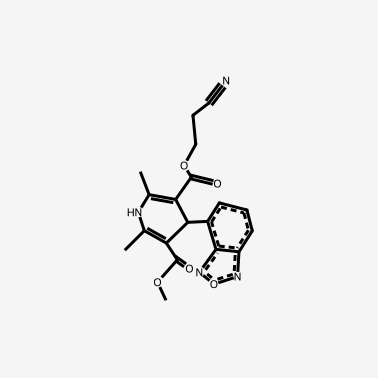 COC(=O)C1=C(C)NC(C)=C(C(=O)OCCC#N)C1c1cccc2nonc12